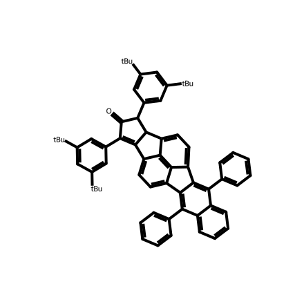 CC(C)(C)c1cc(C2=C3c4ccc5c6c(ccc(c46)C3C(c3cc(C(C)(C)C)cc(C(C)(C)C)c3)C2=O)-c2c-5c(-c3ccccc3)c3ccccc3c2-c2ccccc2)cc(C(C)(C)C)c1